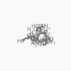 C#CCCN(C)[C@@H]1C[C@H](O[C@@H]2[C@@H](C)C([C@H]3C[C@@](C)(OC)[C@@H](O)[C@H](C)O3)[C@@H](C)C(=O)O[C@H](I)[C@@](C)(OC=O)[C@@H]3NCCN=C([C@H](C)C[C@@]2(C)OC)[C@@H]3C)O[C@H](C)C1